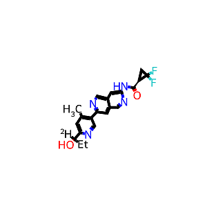 [2H]C(O)(CC)c1cc(C)c(-c2cc3cnc(NC(=O)[C@H]4CC4(F)F)cc3cn2)cn1